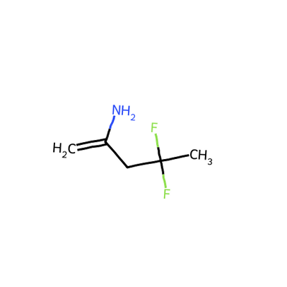 C=C(N)CC(C)(F)F